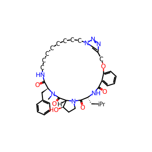 CC(C)C[C@H]1NC(=O)c2ccccc2OCc2cn(nn2)CCCCCCCCNC(=O)[C@H](Cc2ccccc2)N(C)C(=O)[C@H]2[C@H](O)CCN2C1=O